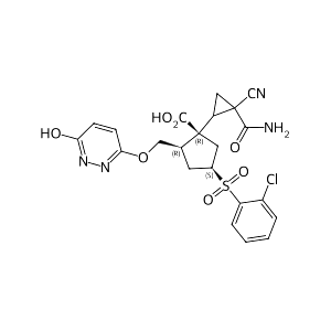 N#CC1(C(N)=O)CC1[C@]1(C(=O)O)C[C@@H](S(=O)(=O)c2ccccc2Cl)C[C@H]1COc1ccc(O)nn1